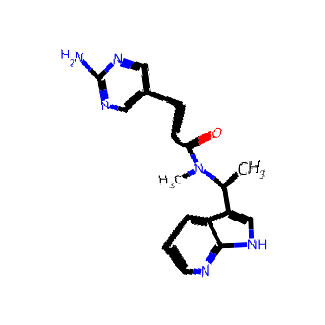 CC(c1c[nH]c2ncccc12)N(C)C(=O)C=Cc1cnc(N)nc1